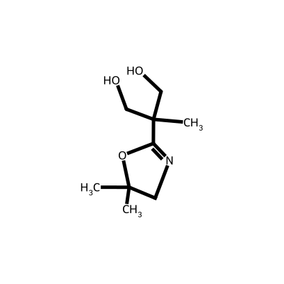 CC1(C)CN=C(C(C)(CO)CO)O1